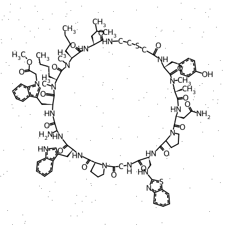 CCCC[C@H]1C(=O)N(C)[C@@H](CCCC)C(=O)N[C@@H](CC(C)C)C(=O)NCCSCC(=O)N[C@@H](Cc2ccc(O)cc2)C(=O)N(C)[C@@H](C)C(=O)N[C@@H](CC(N)=O)C(=O)N2CCCC2C(=O)N[C@@H](CNc2nc3ccccc3s2)C(=O)NCC(=O)N2CCCC2C(=O)N[C@@H](Cc2c[nH]c3ccccc23)C(=O)NC(N)C(=O)N[C@@H](Cc2cn(CC(=O)OC)c3ccccc23)C(=O)N1C